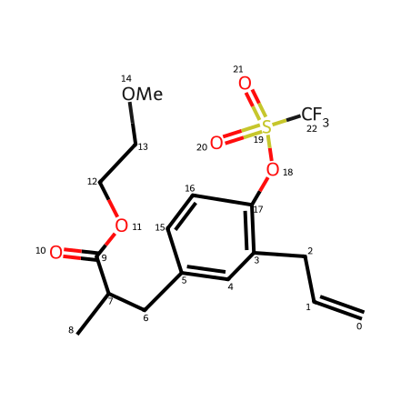 C=CCc1cc(CC(C)C(=O)OCCOC)ccc1OS(=O)(=O)C(F)(F)F